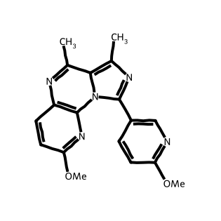 COc1ccc(-c2nc(C)c3c(C)nc4ccc(OC)nc4n23)cn1